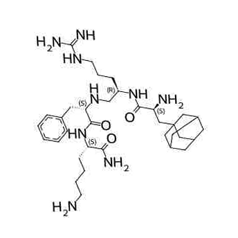 N=C(N)NCCC[C@H](CN[C@@H](Cc1ccccc1)C(=O)N[C@@H](CCCCN)C(N)=O)NC(=O)[C@@H](N)CC12CC3CC(CC(C3)C1)C2